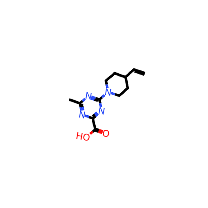 C=CC1CCN(c2nc(C)nc(C(=O)O)n2)CC1